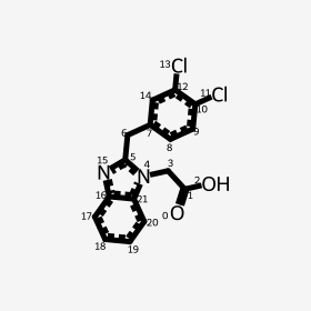 O=C(O)Cn1c(Cc2ccc(Cl)c(Cl)c2)nc2ccccc21